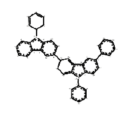 C1=CCC(n2c3ccccc3c3cc(C4C=c5c(n(-c6ccccc6)c6ccc(-c7ccccc7)cc56)=CC4)ccc32)C=C1